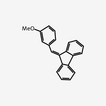 COc1cccc(C=C2c3ccccc3-c3ccccc32)c1